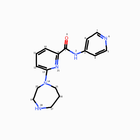 O=C(Nc1ccncc1)c1cccc(N2CCCNCC2)n1